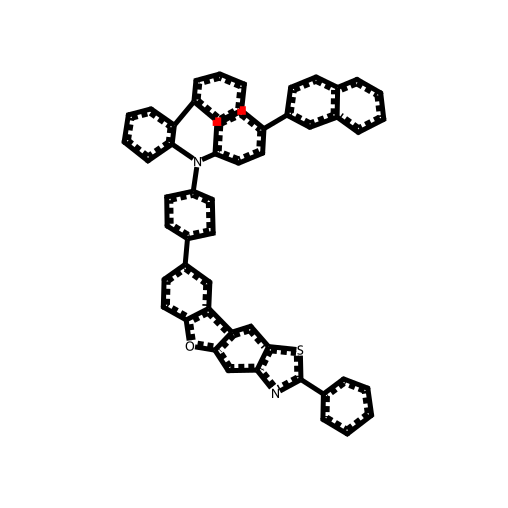 c1ccc(-c2nc3cc4oc5ccc(-c6ccc(N(c7ccc(-c8ccc9ccccc9c8)cc7)c7ccccc7-c7ccccc7)cc6)cc5c4cc3s2)cc1